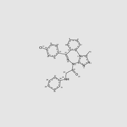 Cc1nnc2n1-c1ccccc1C(c1ccc(Cl)cc1)=NN2C(=O)CNc1ccccc1